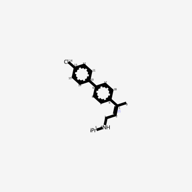 C/C(=C/CNC(C)C)c1ccc(-c2ccc(Cl)cc2)cc1